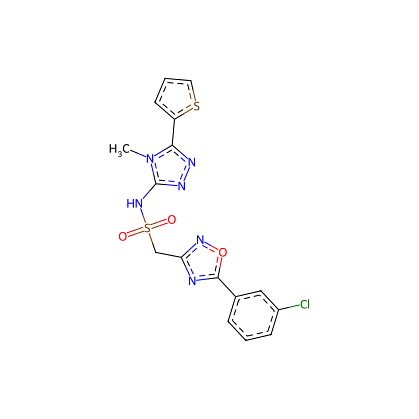 Cn1c(NS(=O)(=O)Cc2noc(-c3cccc(Cl)c3)n2)nnc1-c1cccs1